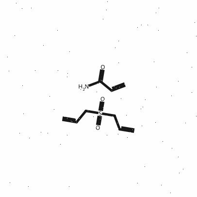 C=CC(N)=O.C=CCS(=O)(=O)CC=C